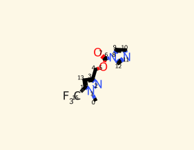 Cn1nc(COC(=O)n2ccnc2)cc1C(F)(F)F